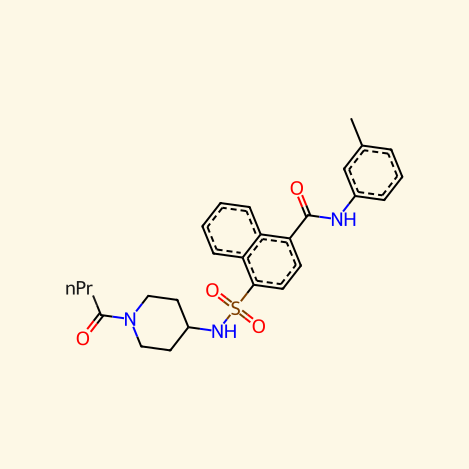 CCCC(=O)N1CCC(NS(=O)(=O)c2ccc(C(=O)Nc3cccc(C)c3)c3ccccc23)CC1